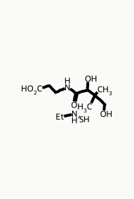 CC(C)(CO)C(O)C(=O)NCCC(=O)O.CCNS